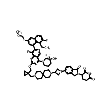 CCc1c(F)ccc2cc(OCOC)cc(-c3ncc4c(N5CCC[C@@](C)(O)C5)nc(OCC5(CN6CCC7(CC6)CCN(C6CN(c8ccc9c(c8)CN(C8CCC(=O)NC8=O)C9=O)C6)CC7)CC5)nc4c3F)c12